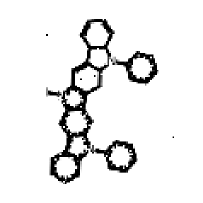 In1c2c(c3cc4c(cc31)c1ccccc1n4-c1ccccc1)CC1C(=C2)C2C=CC=CC2N1c1ccccc1